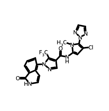 Cn1c(NC(=O)c2cnn(-c3cccc4c(=O)[nH]ccc34)c2C(F)(F)F)cc(Cl)c1-n1nccn1